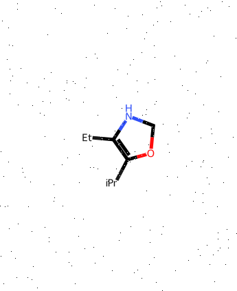 CCC1=C(C(C)C)OCN1